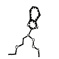 CCOCCN(OOSC)c1nc2ccccc2s1